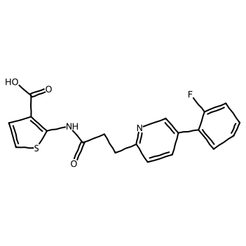 O=C(CCc1ccc(-c2ccccc2F)cn1)Nc1sccc1C(=O)O